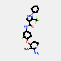 Cc1c(Oc2ccc(NC(=O)c3cnn(-c4ccccc4)c3C(F)(F)F)cc2F)ccnc1N